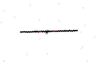 CCCCCCCCCCCCCCCCCCCCCCCCCCCCOC(=O)CCCCCCCCCCCCCCCCCCCCCCCCC